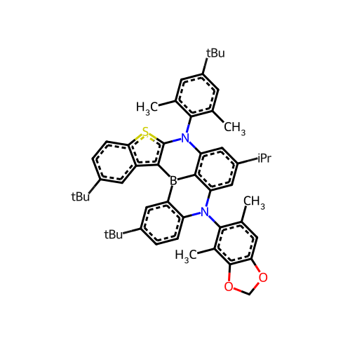 Cc1cc(C(C)(C)C)cc(C)c1N1c2cc(C(C)C)cc3c2B(c2cc(C(C)(C)C)ccc2N3c2c(C)cc3c(c2C)OCO3)c2c1sc1ccc(C(C)(C)C)cc21